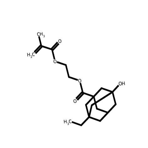 C=C(C)C(=O)OCCOC(=O)C12CC3CC(O)(CC(CC)(C3)C1)C2